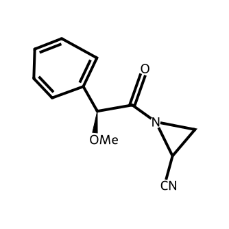 CO[C@H](C(=O)N1CC1C#N)c1ccccc1